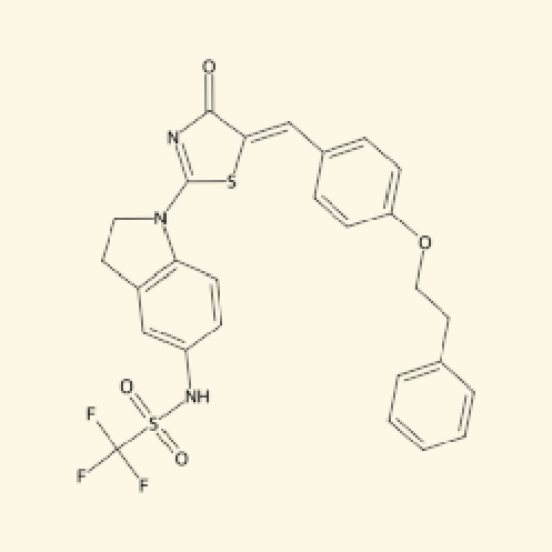 O=C1N=C(N2CCc3cc(NS(=O)(=O)C(F)(F)F)ccc32)SC1=Cc1ccc(OCCc2ccccc2)cc1